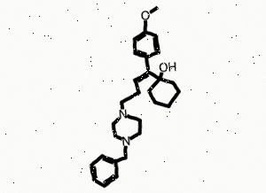 COc1ccc(C(=CCCN2CCN(Cc3ccccc3)CC2)C2(O)CCCCC2)cc1